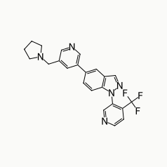 FC(F)(F)c1ccncc1-n1ncc2cc(-c3cncc(CN4CCCC4)c3)ccc21